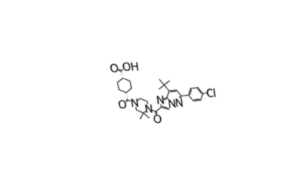 CC(C)(C)c1cc(-c2ccc(Cl)cc2)nn2cc(C(=O)N3CCN(C(=O)[C@H]4CC[C@@H](C(=O)O)CC4)CC3(C)C)nc12